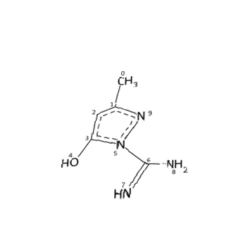 Cc1cc(O)n(C(=N)N)n1